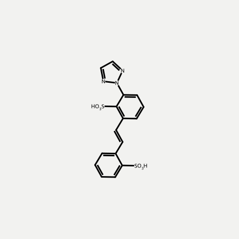 O=S(=O)(O)c1ccccc1C=Cc1cccc(-n2nccn2)c1S(=O)(=O)O